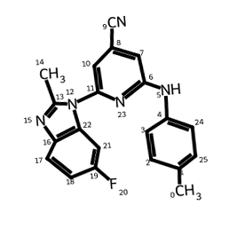 Cc1ccc(Nc2cc(C#N)cc(-n3c(C)nc4ccc(F)cc43)n2)cc1